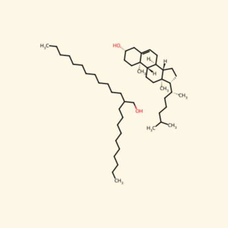 CC(C)CCC[C@@H](C)[C@H]1CC[C@H]2[C@@H]3CC=C4C[C@@H](O)CC[C@]4(C)[C@H]3CC[C@]12C.CCCCCCCCCCCCC(CO)CCCCCCCCCC